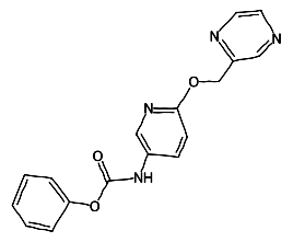 O=C(Nc1ccc(OCc2cnccn2)nc1)Oc1ccccc1